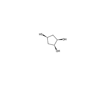 O[C@@H]1C[C@H](S)C[C@@H]1O